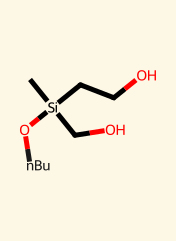 CCCCO[Si](C)(CO)CCO